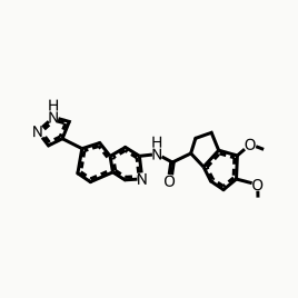 COc1ccc2c(c1OC)CCC2C(=O)Nc1cc2cc(-c3cn[nH]c3)ccc2cn1